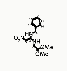 COC(CN/C(=C/[N+](=O)[O-])NCc1cccnc1)OC